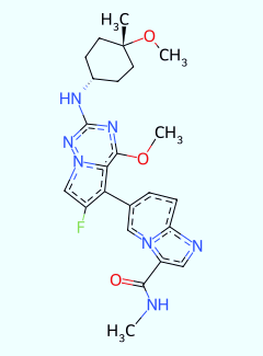 CNC(=O)c1cnc2ccc(-c3c(F)cn4nc(N[C@H]5CC[C@@](C)(OC)CC5)nc(OC)c34)cn12